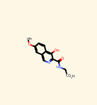 CCCOc1ccc2c(O)c(C(=O)NCC(=O)O)ncc2c1